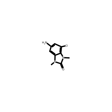 Cn1c(=O)n(C)c2c(Cl)cc(N)cc21